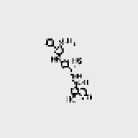 COc1ccc(Nc2ccc(CCNC[C@H](O)c3ccc(O)c4[nH]c(=O)ccc34)cc2)cc1-c1ccccc1.Cl.O